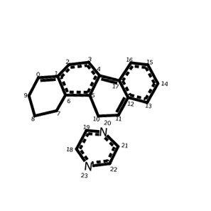 C1=c2ccc3c(c2CCC1)CC=c1ccccc1=3.c1cnccn1